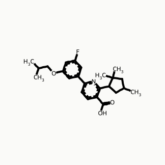 CC(C)COc1cc(F)cc(-c2ccc(C(=O)O)c(C3CC(C)CC3(C)C)n2)c1